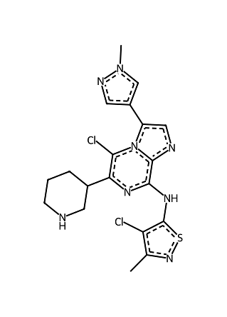 Cc1nsc(Nc2nc(C3CCCNC3)c(Cl)n3c(-c4cnn(C)c4)cnc23)c1Cl